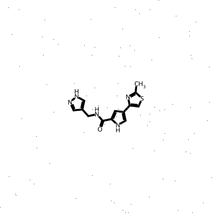 Cc1nc(-c2c[nH]c(C(=O)NCc3cn[nH]c3)c2)cs1